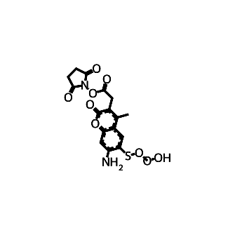 Cc1c(CC(=O)ON2C(=O)CCC2=O)c(=O)oc2cc(N)c(SOOO)cc12